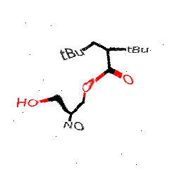 CC(C)(C)CC(C(=O)OCC(CO)N=O)C(C)(C)C